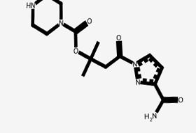 CC(C)(CC(=O)n1ccc(C(N)=O)n1)OC(=O)N1CCNCC1